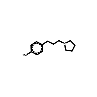 CCCCc1ccc(CCCN2CCCC2)cc1